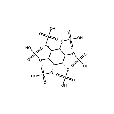 O=S(=O)(O)OC1C(OS(=O)(=O)O)[C@H](OS(=O)(=O)O)[C@H](OS(=O)(=O)O)C(OS(=O)(=O)O)[C@H]1OS(=O)(=O)O